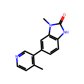 Cc1ccncc1-c1ccc2[nH]c(=O)n(C)c2c1